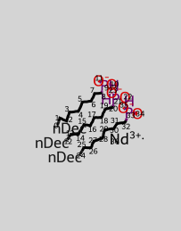 CCCCCCCCCCCCCCCCCC[PH](=O)[O-].CCCCCCCCCCCCCCCCCC[PH](=O)[O-].CCCCCCCCCCCCCCCCCC[PH](=O)[O-].[Nd+3]